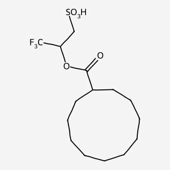 O=C(OC(CS(=O)(=O)O)C(F)(F)F)C1CCCCCCCCCC1